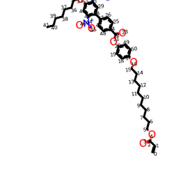 C=CC(=O)OCCCCCCCCCCCOc1ccc(OC(=O)c2ccc(-c3cc(N)c(O[C@H](C)CCCCCC)cc3[N+](=O)[O-])cc2)cc1